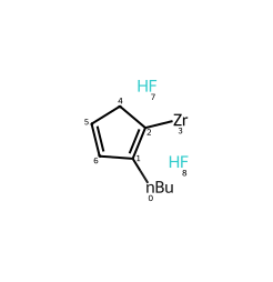 CCCCC1=[C]([Zr])CC=C1.F.F